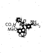 CC(=O)O.COC1=CC([C@H](Nc2ccc(C(=N)N)cc2)c2nn(-c3ncccn3)c(=O)[nH]2)C2=C(F)OCCOC2=C1